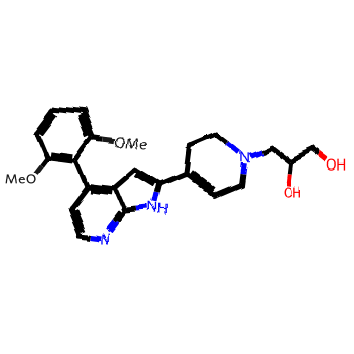 COc1cccc(OC)c1-c1ccnc2[nH]c(C3=CCN(CC(O)CO)CC3)cc12